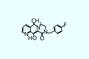 C=C1c2cccnc2C(O)=C2C(=O)N(Cc3ccc(F)cc3)CCN12